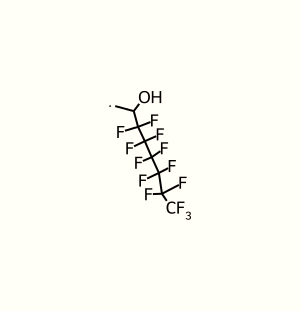 [CH2]C(O)C(F)(F)C(F)(F)C(F)(F)C(F)(F)C(F)(F)C(F)(F)F